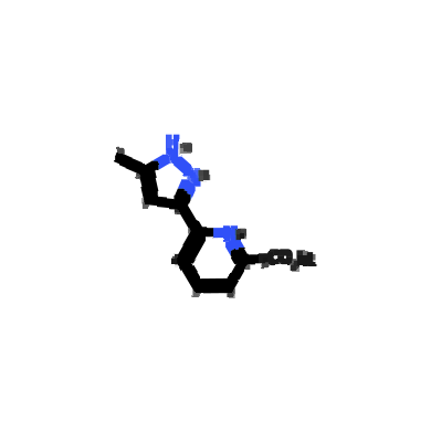 CCOC(=O)c1cccc(-c2cc(C)[nH]n2)n1